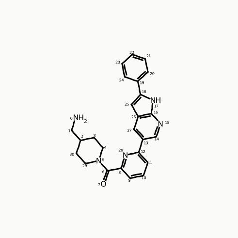 NCC1CCN(C(=O)c2cccc(-c3cnc4[nH]c(-c5ccccc5)cc4c3)n2)CC1